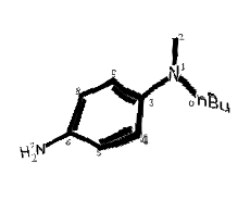 CCCCN(C)c1ccc(N)cc1